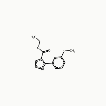 CCOC(=O)c1cc[nH]c1-c1cccc(SC)c1